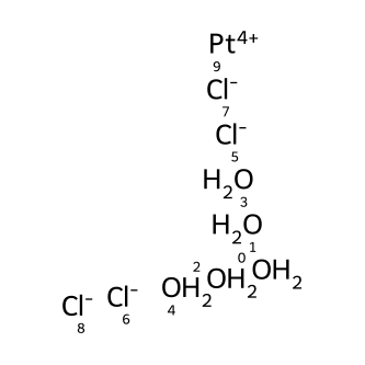 O.O.O.O.O.[Cl-].[Cl-].[Cl-].[Cl-].[Pt+4]